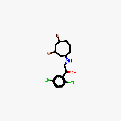 OC(CNC1CCCC(Br)CC(Br)C1)c1cc(Cl)ccc1Cl